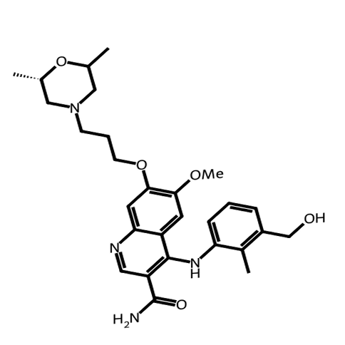 COc1cc2c(Nc3cccc(CO)c3C)c(C(N)=O)cnc2cc1OCCCN1CC(C)O[C@@H](C)C1